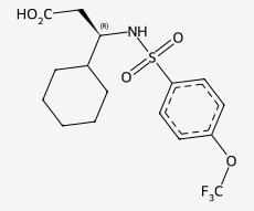 O=C(O)C[C@@H](NS(=O)(=O)c1ccc(OC(F)(F)F)cc1)C1CCCCC1